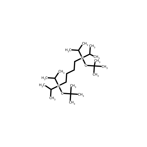 CC(C)[Si](CCCC[Si](OC(C)(C)C)(C(C)C)C(C)C)(OC(C)(C)C)C(C)C